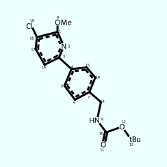 COc1nc(-c2ccc(CNC(=O)OC(C)(C)C)cc2)ccc1Cl